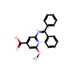 COc1cc(C(=O)O)cc(N=C(c2ccccc2)c2ccccc2)n1